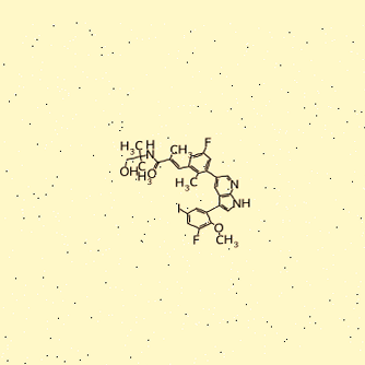 COc1c(F)cc(I)cc1-c1c[nH]c2ncc(-c3cc(F)cc(/C=C(\C)C(=O)NC(C)(C)CO)c3C)cc12